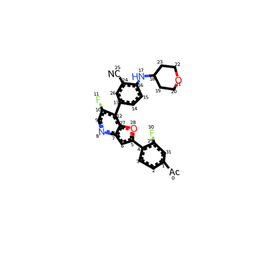 CC(=O)c1ccc(-c2cc3ncc(F)c(-c4ccc(NC5CCOCC5)c(C#N)c4)c3o2)c(F)c1